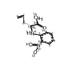 C=CC[C@@H](Nc1ccccc1[N+](=O)[O-])C(=O)O